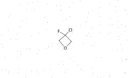 FC1(Cl)COC1